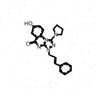 O=c1nc2n(CC=Cc3ccccc3)nc(N3CCCC3)n2c2ccc(O)cc12